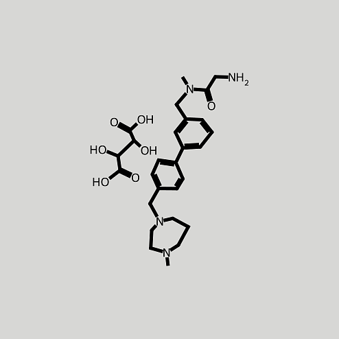 CN1CCCN(Cc2ccc(-c3cccc(CN(C)C(=O)CN)c3)cc2)CC1.O=C(O)C(O)C(O)C(=O)O